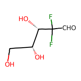 O=CC(F)(F)[C@@H](O)[C@H](O)CO